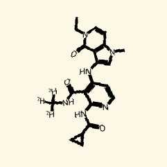 [2H]C([2H])([2H])NC(=O)c1c(Nc2cn(C)c3ccn(CC)c(=O)c23)ccnc1NC(=O)C1CC1